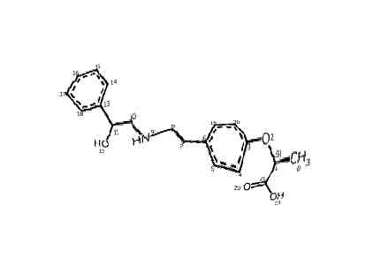 C[C@H](Oc1ccc(CCNCC(O)c2ccccc2)cc1)C(=O)O